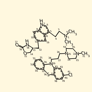 CN(C)CCc1c[nH]c2ccc(C[C@H]3COC(=O)N3)cc12.CN1CCN(CCCN2c3ccccc3Sc3ccc(Cl)cc32)CC1